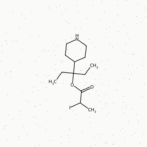 CCC(CC)(OC(=O)C(C)I)C1CCNCC1